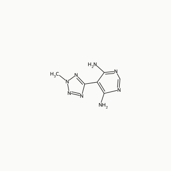 Cn1nnc(-c2c(N)ncnc2N)n1